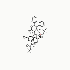 CC1(C)CCC2(CC1)N1[C@H](c3ccccc3)[C@H](c3ccccc3)OC(=O)[C@H]1[C@H](c1cc(Cl)cc(NC(=O)OC(C)(C)C)c1)[C@]21C(=O)Nc2cc(Cl)ccc21